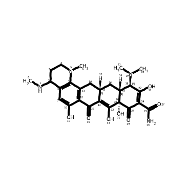 CNC1CCN(C)c2c1cc(O)c1c2C[C@@H]2C[C@@H]3[C@@H](N(C)C)C(O)=C(C(N)=O)C(=O)[C@@]3(O)C(O)=C2C1=O